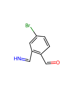 N=Cc1cc(Br)ccc1C=O